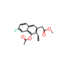 C=Cc1c(CC(=O)OC)cc2ccc(F)cc2c1OC(C)=O